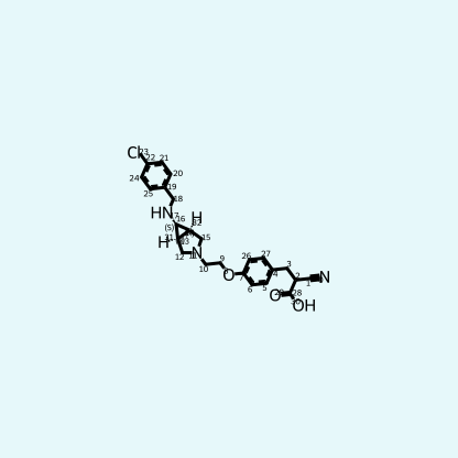 N#CC(Cc1ccc(OCCN2C[C@@H]3[C@H](C2)[C@H]3NCc2ccc(Cl)cc2)cc1)C(=O)O